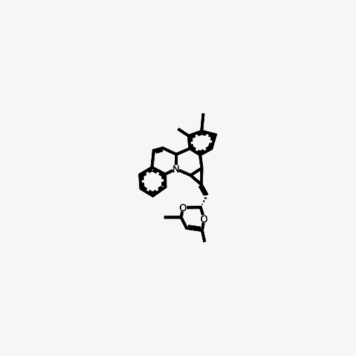 CC1=CC(C)O[C@H](/C=C2/C3c4ccc(C)c(C)c4C4C=Cc5ccccc5N4C23)O1